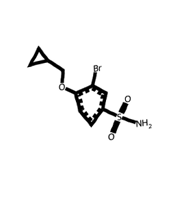 NS(=O)(=O)c1ccc(OCC2CC2)c(Br)c1